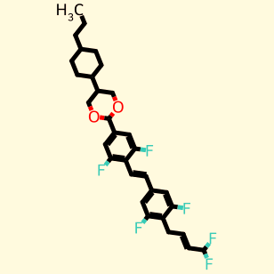 CCCC1CCC(C2COC(c3cc(F)c(/C=C/c4cc(F)c(C/C=C/C(F)F)c(F)c4)c(F)c3)OC2)CC1